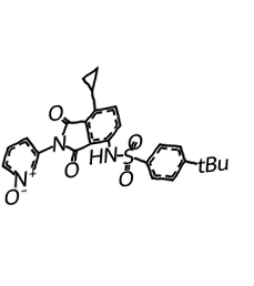 CC(C)(C)c1ccc(S(=O)(=O)Nc2ccc(C3CC3)c3c2C(=O)N(c2ccc[n+]([O-])c2)C3=O)cc1